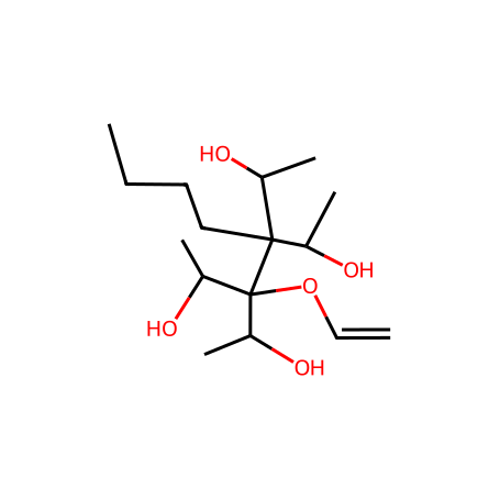 C=COC(C(C)O)(C(C)O)C(CCCC)(C(C)O)C(C)O